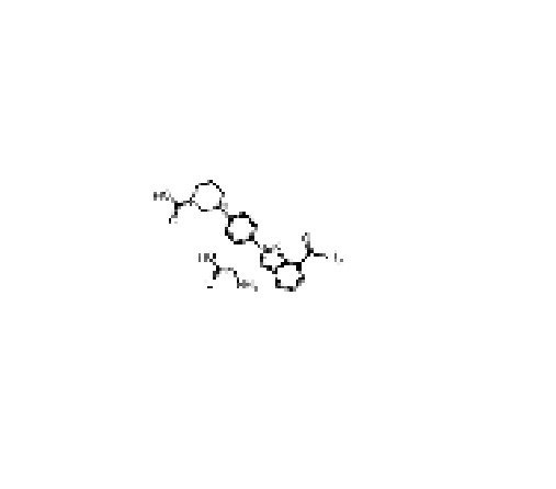 NC(=O)c1cccc2cn(-c3ccc([C@@H]4CCCN(C(=O)O)C4)cc3)nc12.NCC(=O)O